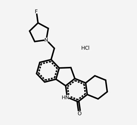 Cl.O=c1[nH]c2c(c3c1CCCC3)Cc1c(CN3CCC(F)C3)cccc1-2